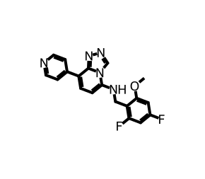 COc1cc(F)cc(F)c1CNc1ccc(-c2ccncc2)c2nncn12